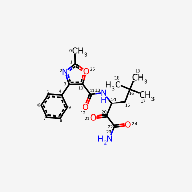 Cc1nc(-c2ccccc2)c(C(=O)N[C@@H](CC(C)(C)C)C(=O)C(N)=O)o1